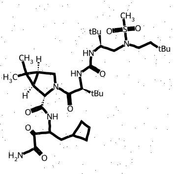 CC(C)(C)CCN(C[C@@H](NC(=O)N[C@H](C(=O)N1C[C@H]2[C@@H]([C@H]1C(=O)NC(CC1CCC1)C(=O)C(N)=O)C2(C)C)C(C)(C)C)C(C)(C)C)S(C)(=O)=O